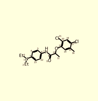 CCN(CC)c1ccc(NC(=O)C(C)Oc2cc(C)c(Cl)cc2Cl)cc1